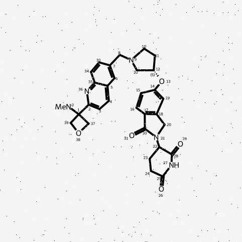 CNC1(c2ccc3cc(CN4CC[C@H](Oc5ccc6c(c5)CN(C5CCC(=O)NC5=O)C6=O)C4)ccc3n2)COC1